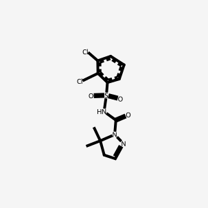 CC1(C)CC=NN1C(=O)NS(=O)(=O)c1cccc(Cl)c1Cl